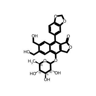 C[C@H]1OC(Oc2c3c(c(-c4ccc5c(c4)OCO5)c4cc(CO)c(CO)cc24)C(=O)OC3)[C@H](O)[C@@H](O)[C@@H]1O